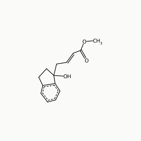 COC(=O)C=CCC1(O)CCc2ccccc21